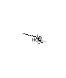 CCCCCCCCCCCCC(CC)[C@@H]1OC[C@@H](O)[C@H](O)[C@H]1O